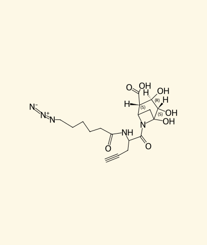 C#CCC(NC(=O)CCCCCN=[N+]=[N-])C(=O)N1C2CC1(O)[C@@H](O)[C@H](O)[C@H]2C(=O)O